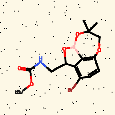 CC(C)(C)OC(=O)NCC1OB2OC(C)(C)COc3ccc(Br)c1c32